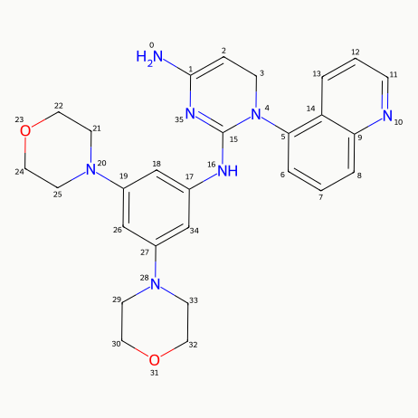 NC1=CCN(c2cccc3ncccc23)C(Nc2cc(N3CCOCC3)cc(N3CCOCC3)c2)=N1